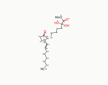 COC(=O)C(O)(O)CCCCC[C@H]1C(=O)CC[C@@H]1C=CCCCCCC#N